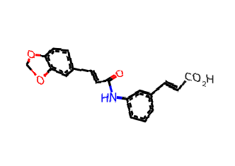 O=C(O)C=Cc1cccc(NC(=O)C=Cc2ccc3c(c2)OCO3)c1